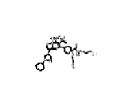 COCCOC1(C(=O)NOCCO)CCC(c2nc3c(-c4cnn(-c5ccccc5)c4)cnn3c(N)c2S(C)(=O)=O)CC1